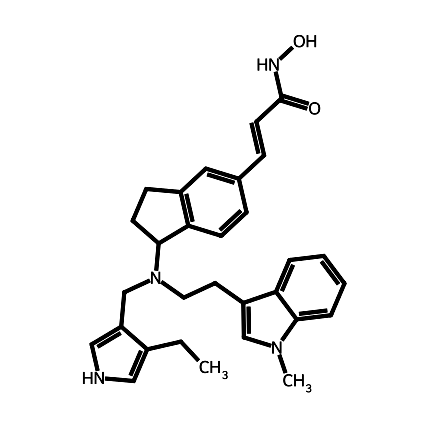 CCc1c[nH]cc1CN(CCc1cn(C)c2ccccc12)C1CCc2cc(/C=C/C(=O)NO)ccc21